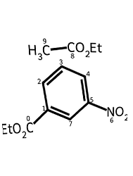 CCOC(=O)c1cccc([N+](=O)[O-])c1.CCOC(C)=O